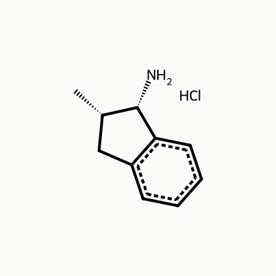 C[C@H]1Cc2ccccc2[C@H]1N.Cl